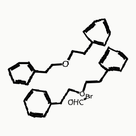 O=CBr.c1ccc(CCOCCc2ccccc2)cc1.c1ccc(CCOCCc2ccccc2)cc1